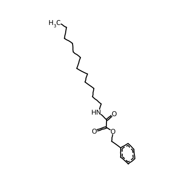 CCCCCCCCCCCCNC(=O)C(=O)OCc1ccccc1